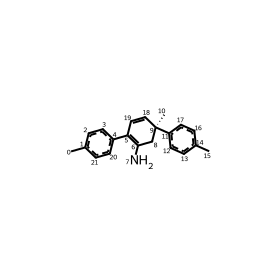 Cc1ccc(C2=C(N)C[C@](C)(c3ccc(C)cc3)C=C2)cc1